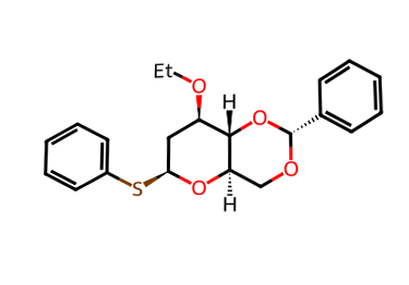 CCO[C@@H]1C[C@H](Sc2ccccc2)O[C@@H]2CO[C@@H](c3ccccc3)O[C@@H]12